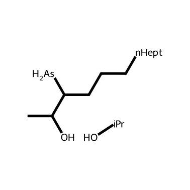 CC(C)O.CCCCCCCCCCC([AsH2])C(C)O